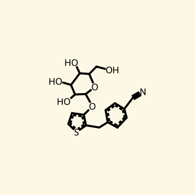 N#Cc1ccc(Cc2sccc2OC2OC(CO)C(O)C(O)C2O)cc1